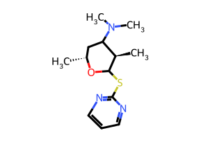 C[C@H]1C(Sc2ncccn2)O[C@H](C)CC1N(C)C